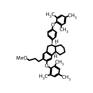 COCCCc1cc2c(cc1Oc1c(C)cc(C)cc1C)[C@@H]1CCCC[C@@H]1[C@H](c1ccc(Oc3c(C)cc(C)cc3C)cc1)C2